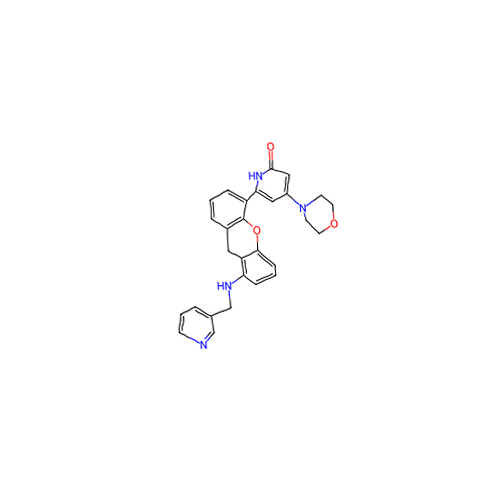 O=c1cc(N2CCOCC2)cc(-c2cccc3c2Oc2cccc(NCc4cccnc4)c2C3)[nH]1